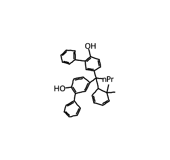 CCCC(c1ccc(O)c(-c2ccccc2)c1)(c1ccc(O)c(-c2ccccc2)c1)C1C=CC=CC1(C)C